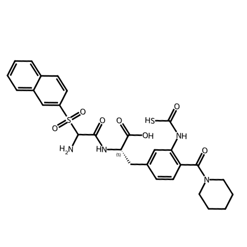 NC(C(=O)N[C@@H](Cc1ccc(C(=O)N2CCCCC2)c(NC(=O)S)c1)C(=O)O)S(=O)(=O)c1ccc2ccccc2c1